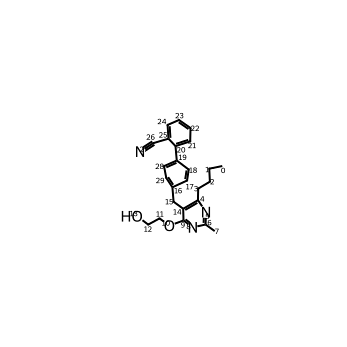 CCCCc1nc(C)nc(OCCO)c1Cc1ccc(-c2ccccc2C#N)cc1